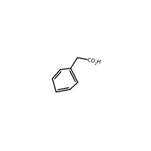 O=[13C](O)Cc1ccccc1